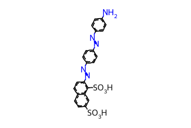 Nc1ccc(/N=N/c2ccc(/N=N/c3ccc4ccc(S(=O)(=O)O)cc4c3S(=O)(=O)O)cc2)cc1